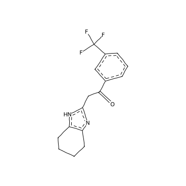 O=C(Cc1nc2c([nH]1)CCCC2)c1cccc(C(F)(F)F)c1